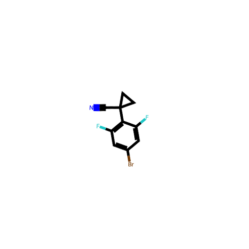 N#CC1(c2c(F)cc(Br)cc2F)CC1